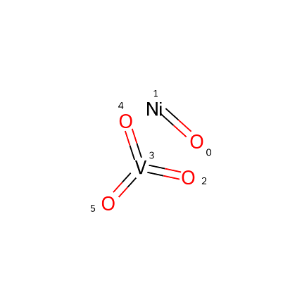 [O]=[Ni].[O]=[V](=[O])=[O]